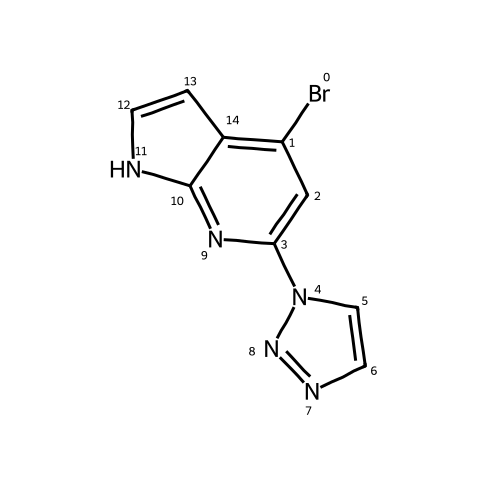 Brc1cc(-n2ccnn2)nc2[nH]ccc12